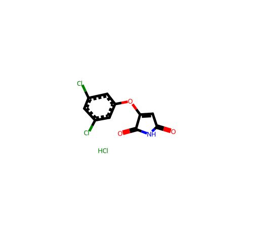 Cl.O=C1C=C(Oc2cc(Cl)cc(Cl)c2)C(=O)N1